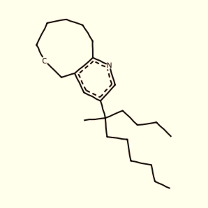 CCCCCCC(C)(CCCC)c1cnc2c(c1)CCCCCCC2